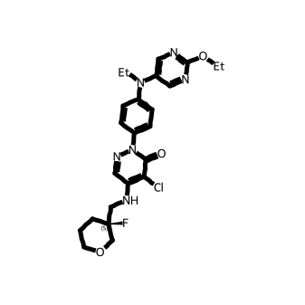 CCOc1ncc(N(CC)c2ccc(-n3ncc(NC[C@@]4(F)CCCOC4)c(Cl)c3=O)cc2)cn1